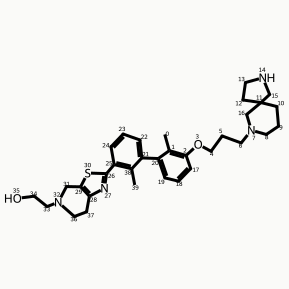 Cc1c(OCCCN2CCCC3(CCNC3)C2)cccc1-c1cccc(-c2nc3c(s2)CN(CCO)CC3)c1C